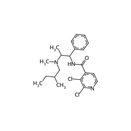 CCC(C)CN(C)C(C)C(NC(=O)c1ccnc(Cl)c1Cl)c1ccccc1